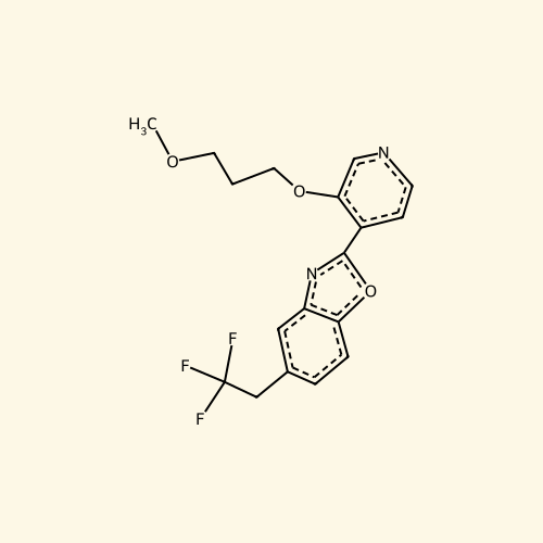 COCCCOc1cnccc1-c1nc2cc(CC(F)(F)F)ccc2o1